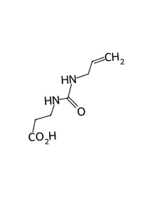 C=CCNC(=O)NCCC(=O)O